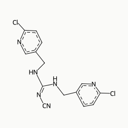 N#CN=C(NCc1ccc(Cl)nc1)NCc1ccc(Cl)nc1